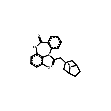 CN1C2CCC1CC(CC(=O)N1c3ccccc3C(=O)Nc3cccc(Cl)c31)C2